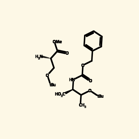 CC(OC(C)(C)C)[C@H](NC(=O)OCc1ccccc1)C(=O)O.COC(=O)[C@@H](N)COC(C)(C)C